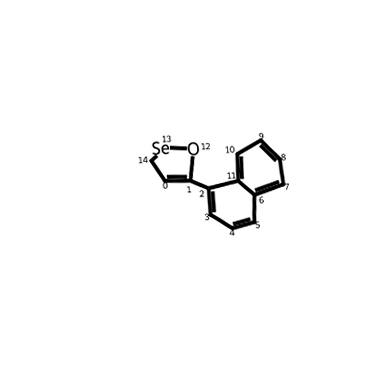 C1=C(c2cccc3ccccc23)O[Se]C1